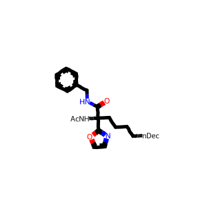 CCCCCCCCCCCCCCC(NC(C)=O)(C(=O)NCc1ccccc1)c1ncco1